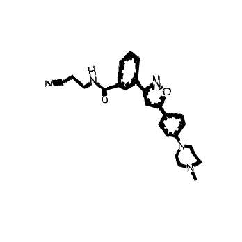 CN1CCN(c2ccc(-c3cc(-c4cccc(C(=O)NCCC#N)c4)no3)cc2)CC1